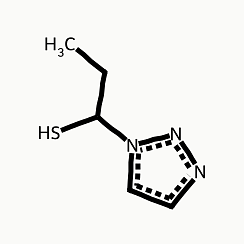 CCC(S)n1ccnn1